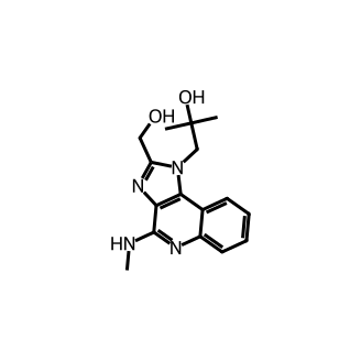 CNc1nc2ccccc2c2c1nc(CO)n2CC(C)(C)O